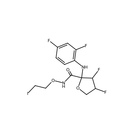 O=C(NOCCI)C1(Nc2ccc(F)cc2F)OCC(F)C1F